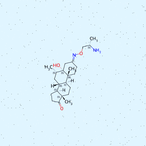 C[C@H](N)CON=C1CC[C@]2(C)[C@H]3CC[C@]4(C)C(=O)CC[C@H]4[C@@H]3C[C@H](C)[C@@]2(O)C1